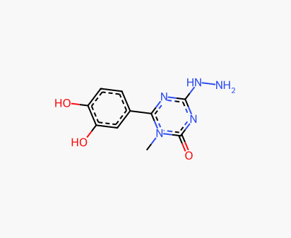 Cn1c(-c2ccc(O)c(O)c2)nc(NN)nc1=O